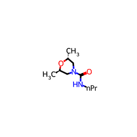 CCCNC(=O)N1C[C@@H](C)O[C@H](C)C1